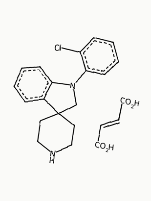 Clc1ccccc1N1CC2(CCNCC2)c2ccccc21.O=C(O)C=CC(=O)O